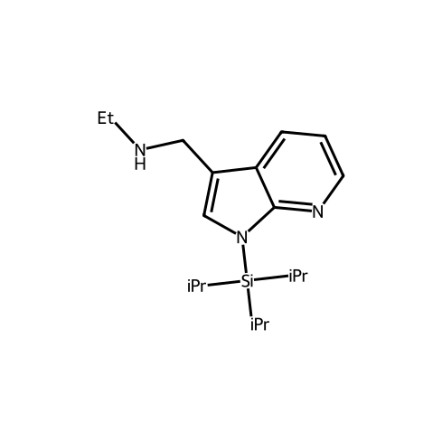 CCNCc1cn([Si](C(C)C)(C(C)C)C(C)C)c2ncccc12